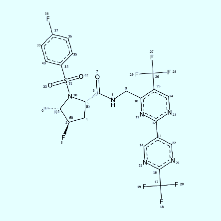 C[C@H]1[C@H](F)C[C@@H](C(=O)NCc2nc(-c3cnc(C(F)(F)F)nc3)ncc2C(F)(F)F)N1S(=O)(=O)c1ccc(F)cc1